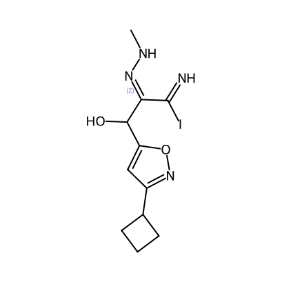 CN/N=C(\C(=N)I)C(O)c1cc(C2CCC2)no1